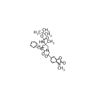 Cn1c(=O)oc2cc(C(=O)CN(CC(C)(C)NC(=O)OC(C)(C)C)C(=O)OCc3ccccc3)ccc21